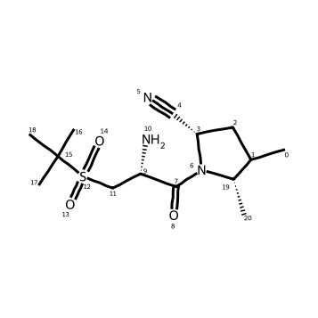 CC1C[C@@H](C#N)N(C(=O)[C@@H](N)CS(=O)(=O)C(C)(C)C)[C@H]1C